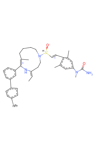 CC=C1CCN([S@@+]([O-])/C=C/c2c(C)cc(N(C)C(N)=O)cc2C)CCCC/C(C)=C(\c2cccc(-c3ccc(CCC)cc3)c2)N1